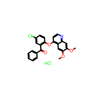 COc1cc2nccc(Oc3ccc(Cl)cc3C(=O)c3ccccc3)c2cc1OC.Cl